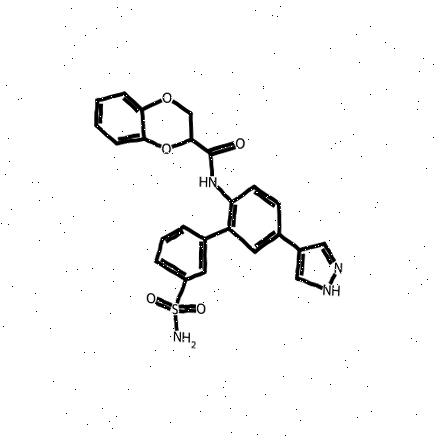 NS(=O)(=O)c1cccc(-c2cc(-c3cn[nH]c3)ccc2NC(=O)C2COc3ccccc3O2)c1